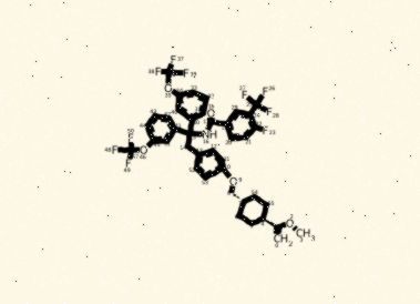 C=C(OC)[C@H]1CC[C@H](COc2ccc(CC(NC(=O)c3ccc(F)c(C(F)(F)F)c3)(c3cccc(OC(F)(F)F)c3)c3cccc(OC(F)(F)F)c3)cc2)CC1